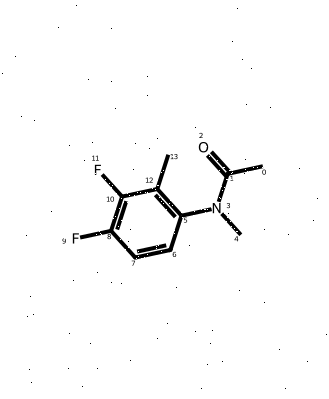 CC(=O)N(C)c1ccc(F)c(F)c1C